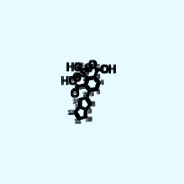 O=C(O)c1ccc(C2=CC3=CC=CC3=C2)c(C(=O)O)c1S(=O)(=O)O